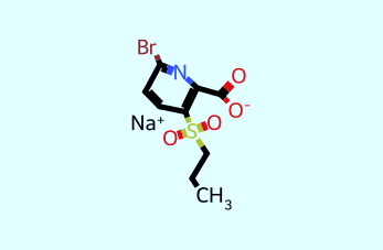 CCCS(=O)(=O)c1ccc(Br)nc1C(=O)[O-].[Na+]